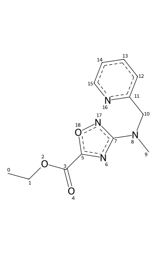 CCOC(=O)c1nc(N(C)Cc2ccccn2)no1